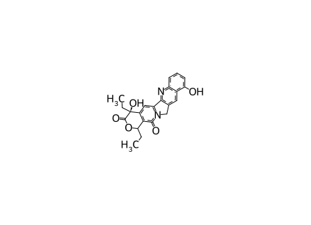 CCC1OC(=O)[C@](O)(CC)c2cc3n(c(=O)c21)Cc1cc2c(O)cccc2nc1-3